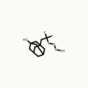 OOOSC(F)(F)CC12CC3CC(CC(O)(C3)C1)C2